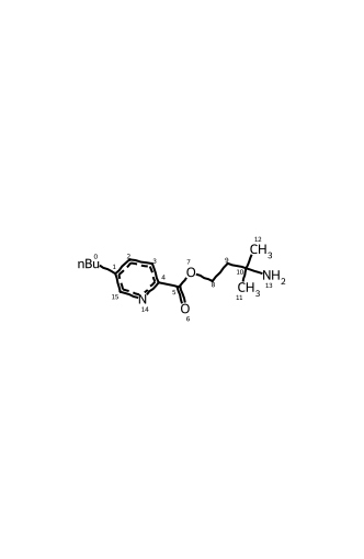 CCCCc1ccc(C(=O)OCCC(C)(C)N)nc1